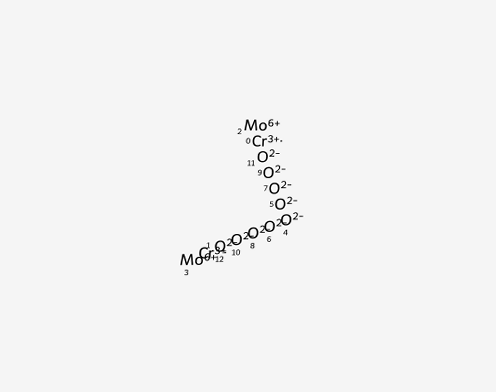 [Cr+3].[Cr+3].[Mo+6].[Mo+6].[O-2].[O-2].[O-2].[O-2].[O-2].[O-2].[O-2].[O-2].[O-2]